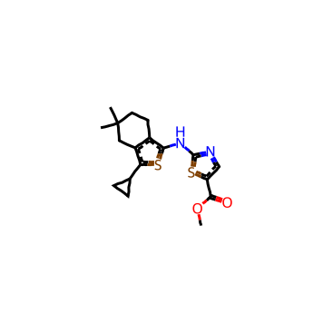 COC(=O)c1cnc(Nc2sc(C3CC3)c3c2CCC(C)(C)C3)s1